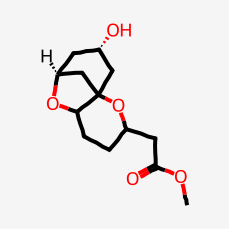 COC(=O)CC1CCC2O[C@H]3C[C@H](O)CC2(C3)O1